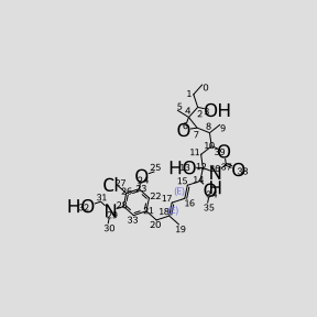 CCC(O)C1(C)OC1C(C)C1CC(O)(C(/C=C/C=C(\C)Cc2cc(OC)c(Cl)c(N(C)CO)c2)OC)NC(=O)O1